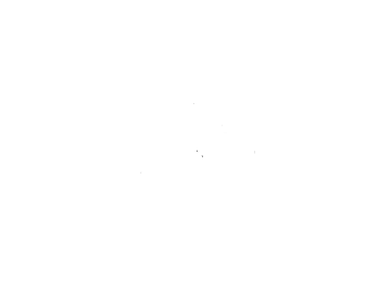 CC(C)(C)C[N]S(=O)(=O)O